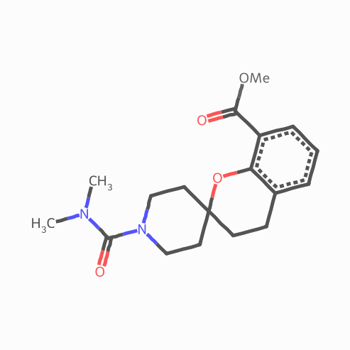 COC(=O)c1cccc2c1OC1(CC2)CCN(C(=O)N(C)C)CC1